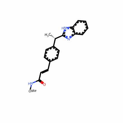 CONC(=O)/C=C/c1ccc([C@H](C)c2nc3ccccc3[nH]2)cc1